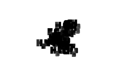 C[C@@H]1c2c(C(F)(F)F)nn(CC(=O)N[C@@H](Cc3cc(F)cc(F)c3)c3nc(C#CC(C)(C)S(C)(=O)=O)ccc3-c3ccc(Cl)c4c(N(C(=O)[C@H]5C[C@H](N)C5)S(C)(=O)=O)nn(CC(F)(F)F)c34)c2C(F)(F)[C@@H]1C